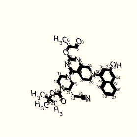 C[C@H](C=O)Oc1nc2c(c(N3CCN(C(=O)OC(C)(C)C)[C@@H](CC#N)C3)n1)CCN(c1cc(O)cc3ccccc13)C2